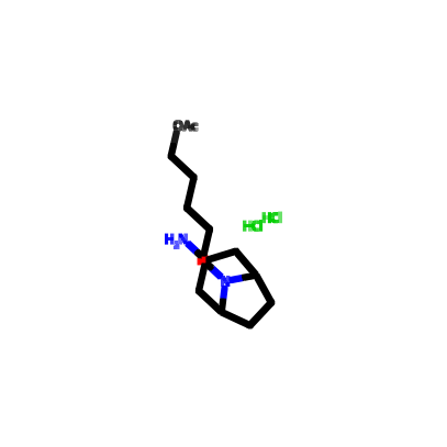 CC(=O)OCCCCCN1C2CCC1CC(N)C2.Cl.Cl